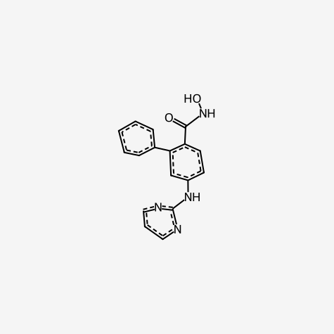 O=C(NO)c1ccc(Nc2ncccn2)cc1-c1ccccc1